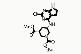 COC(=O)[C@@H]1C[C@H](Nc2nc(Cl)nc3[nH]ccc23)CN(C(=O)OC(C)(C)C)C1